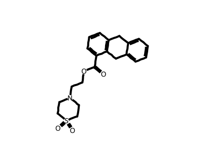 O=C(OCCN1CCS(=O)(=O)CC1)c1cccc2c1Cc1ccccc1C2